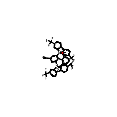 N#Cc1cc(-n2c3cc(C(F)(F)F)ccc3c3ccc(C(F)(F)F)cc32)c(-c2c(C#N)cccc2C(F)(F)F)c(-n2c3cc(C(F)(F)F)ccc3c3ccc(C(F)(F)F)cc32)c1